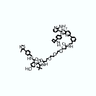 Cc1ncsc1-c1ccc(CNC(=O)[C@@H]2C[C@@H](O)CN2C(=O)[C@@H](NC(=O)CCOCCOCCOCCC(=O)NCCc2cccc(-c3ccc4nc(-c5cccnc5N)n(-c5ccc(C6(N)CCC6)cc5)c4n3)c2)C(C)(C)C)cc1